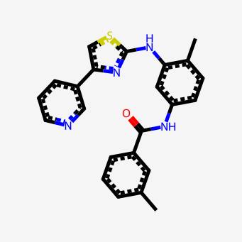 Cc1cccc(C(=O)Nc2ccc(C)c(Nc3nc(-c4cccnc4)cs3)c2)c1